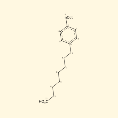 CCCCCCCCc1ccc(CCCCCCCC(=O)O)cc1